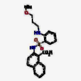 CCCCOCCCNc1ccccc1S(=O)(=O)Nc1ccc2ccccc2c1C(=O)O